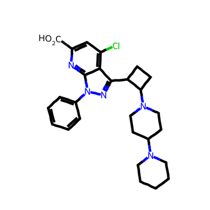 O=C(O)c1cc(Cl)c2c(C3CCC3N3CCC(N4CCCCC4)CC3)nn(-c3ccccc3)c2n1